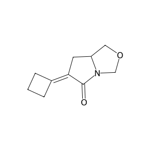 O=C1C(=C2CCC2)CC2COCN12